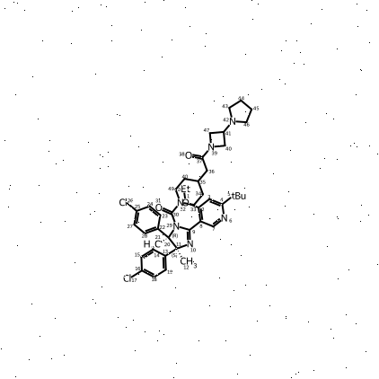 CCOc1cc(C(C)(C)C)ncc1C1=N[C@@](C)(c2ccc(Cl)cc2)[C@@](C)(c2ccc(Cl)cc2)N1C(=O)N1CCC(CC(=O)N2CC(N3CCCC3)C2)CC1